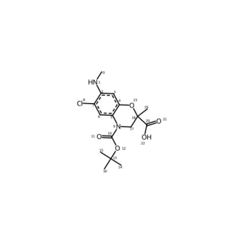 CNc1cc2c(cc1Cl)N(C(=O)OC(C)(C)C)CC(C)(C(=O)O)O2